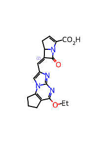 CCOc1nc2nc(/C=C3\C(=O)N4C(C(=O)O)=CCC34)cn2c2c1CCC2